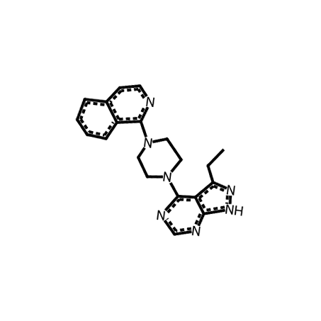 CCc1n[nH]c2ncnc(N3CCN(c4nccc5ccccc45)CC3)c12